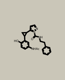 CC(=O)Nc1ccc(O)c(C2CC2c2ccnn2C(=O)NCCc2ccccc2)c1